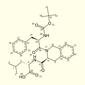 CC(C)C[C@H](NC(=O)[C@@H]1Cc2ccccc2CN1C(=O)[C@@H](Cc1ccccc1)NC(=O)OC(C)(C)C)C(=O)O